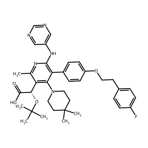 Cc1nc(Nc2cncnc2)c(-c2ccc(OCCc3ccc(F)cc3)cc2)c(N2CCC(C)(C)CC2)c1[C@H](OC(C)(C)C)C(=O)O